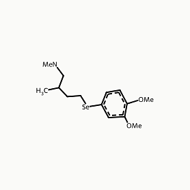 CNCC(C)CC[Se]c1ccc(OC)c(OC)c1